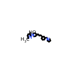 Cc1ccc([N+](=O)[O-])c(N2CCC(=C/C=C/c3cccc(CN4CCCC4)c3)CC2)n1